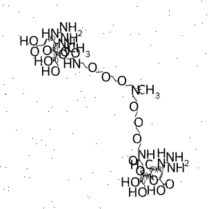 CC(=O)N[C@H]1[C@H]([C@H](OCC(=O)NCCOCCOCCOCCN(C)CCOCCOCCOCCNC(=O)CO[C@@H]([C@@H]2OC(C(=O)O)=C[C@H](NC(=N)N)[C@H]2C)[C@H](O)CO)[C@H](O)CO)OC(C(=O)O)=C[C@@H]1NC(=N)N